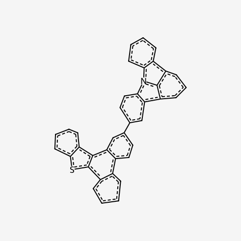 c1ccc2c(c1)sc1c3ccccc3c3ccc(-c4ccc5c(c4)c4cccc6c7ccccc7n5c64)cc3c21